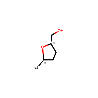 CC[C@@H]1CC[C@H](CO)O1